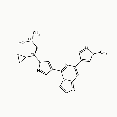 C[C@@H](O)C[C@H](C1CC1)n1cc(-c2nc(-c3cnn(C)c3)cc3nccn23)cn1